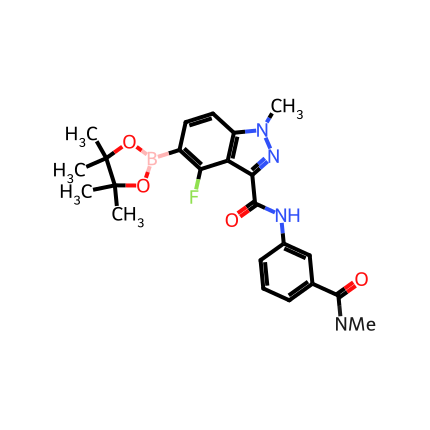 CNC(=O)c1cccc(NC(=O)c2nn(C)c3ccc(B4OC(C)(C)C(C)(C)O4)c(F)c23)c1